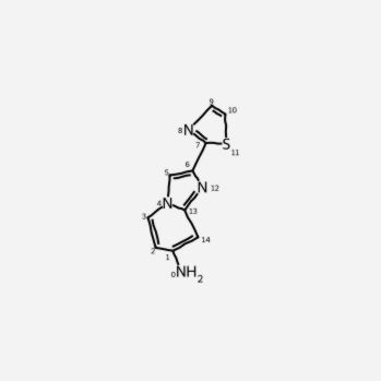 Nc1ccn2cc(-c3nccs3)nc2c1